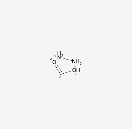 NN.O=[C]O